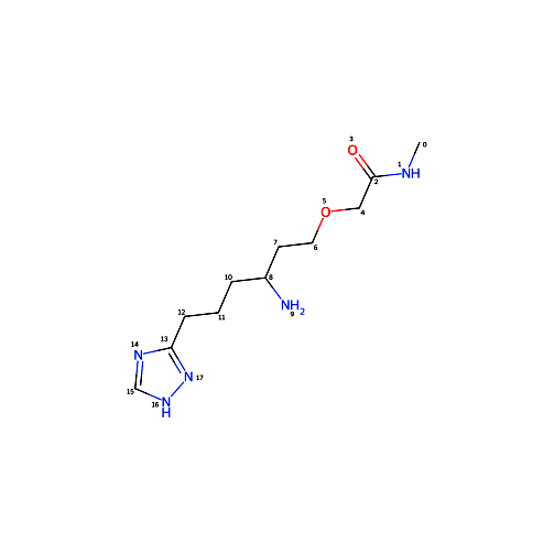 CNC(=O)COCCC(N)CCCc1nc[nH]n1